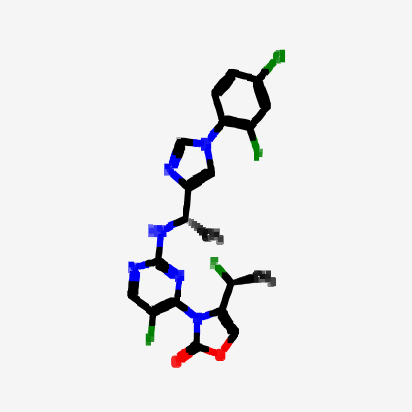 C[C@H](F)c1coc(=O)n1-c1nc(N[C@@H](C)c2cn(-c3ccc(Cl)cc3F)cn2)ncc1F